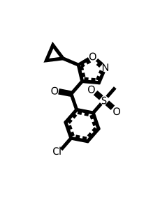 CS(=O)(=O)c1ccc(Cl)cc1C(=O)c1cnoc1C1CC1